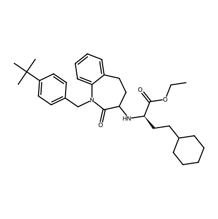 CCOC(=O)[C@@H](CCC1CCCCC1)NC1CCc2ccccc2N(Cc2ccc(C(C)(C)C)cc2)C1=O